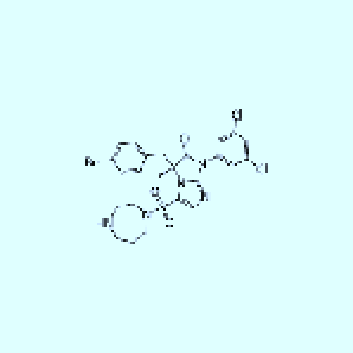 C[C@@]1(Cc2ccc(Br)cc2)C(=O)N(c2cc(Cl)cc(Cl)c2)c2ncc(S(=O)(=O)N3CCCNCC3)n21